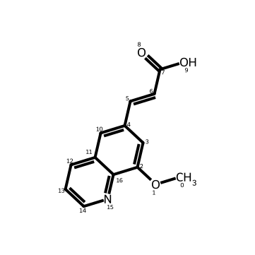 COc1cc(/C=C/C(=O)O)cc2cccnc12